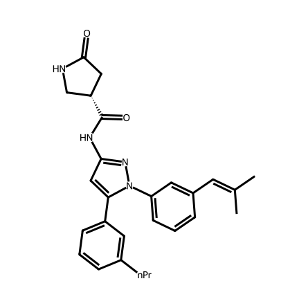 CCCc1cccc(-c2cc(NC(=O)[C@@H]3CNC(=O)C3)nn2-c2cccc(C=C(C)C)c2)c1